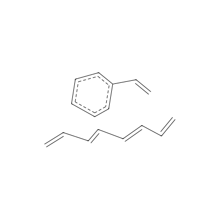 C=CC=CC=CC=C.C=Cc1ccccc1